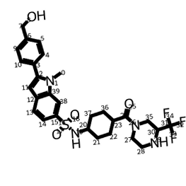 Cn1c(-c2ccc(CO)cc2)cc2ccc(S(=O)(=O)NC3CCC(C(=O)N4CCNC(C(F)(F)F)C4)CC3)cc21